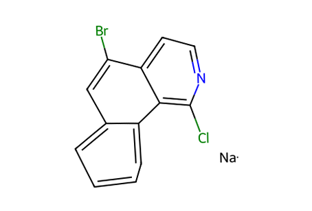 Clc1nccc2c(Br)cc3ccccc3c12.[Na]